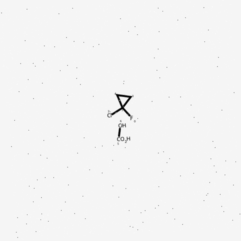 FC1(Cl)CC1.O=C(O)O